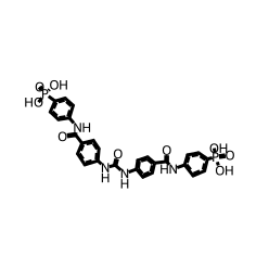 O=C(Nc1ccc(C(=O)Nc2ccc(P(=O)(O)O)cc2)cc1)Nc1ccc(C(=O)Nc2ccc(P(=O)(O)O)cc2)cc1